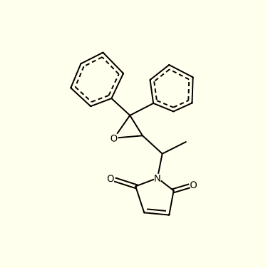 CC(C1OC1(c1ccccc1)c1ccccc1)N1C(=O)C=CC1=O